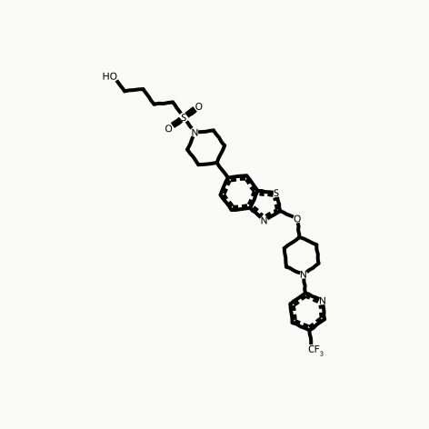 O=S(=O)(CCCCO)N1CCC(c2ccc3nc(OC4CCN(c5ccc(C(F)(F)F)cn5)CC4)sc3c2)CC1